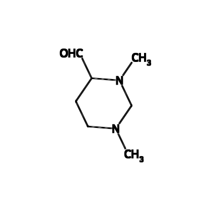 CN1CCC(C=O)N(C)C1